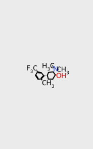 Cc1ccc(C(F)(F)F)cc1[C@H]1CC[C@H](O)[C@@H](N(C)C)C1